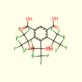 O=C(O)c1cc(C(=O)O)c(C(O)(C(F)(F)F)C(F)(F)F)c(C(O)(C(F)(F)F)C(F)(F)F)c1C(O)(C(F)(F)F)C(F)(F)F